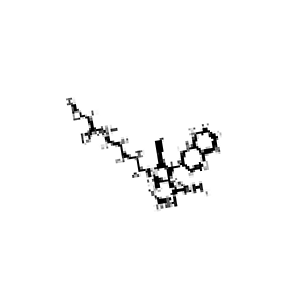 C#Cc1c(C2C=Nc3ccccc3C2)c2c(N)ncnc2n1CCCCCNC(=O)COC